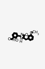 COc1cccc2c1Oc1nc(-c3cccc(C=O)c3O)[nH]c1C2